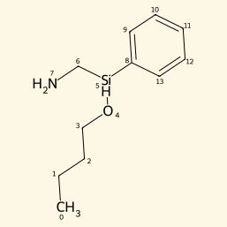 CCCCO[SiH](CN)c1ccccc1